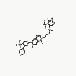 CC(CCCn1cnc2cc(-c3ncc(C(F)(F)F)c(N4CCOCC4)n3)c(F)cc2c1=O)Nc1cn[nH]c(=O)c1C(F)(F)F